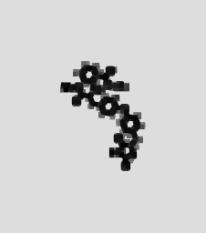 COC(=O)C(Cc1ccc(Oc2ccc(CC3SC(=O)NC3=O)cc2)cc1)Nc1ccccc1C(=O)OC(C)(C)C